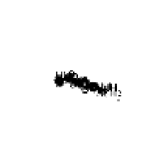 CC(N)C(=O)Nc1ccc(C(=O)N2CCc3cc(S(=O)(=O)N4CC(c5ccccc5)NC4=O)ccc32)cc1